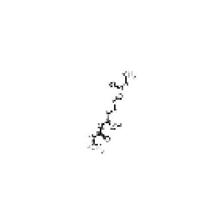 C=CC(=O)OCCCC(S)OC(=O)C=C